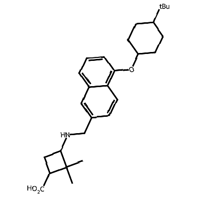 CC(C)(C)C1CCC(Oc2cccc3cc(CNC4CC(C(=O)O)C4(C)C)ccc23)CC1